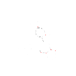 CC(C)(C)c1ccc(N(c2cc(C(C)(C)C)ccc2-c2ccccc2)c2ccccc2-c2cccc3cccc(C4CCCCC4)c23)cc1